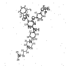 Cc1cccc(C)c1NC(=O)c1cnc(Nc2ccc(N3CCN(CCCN(C)C)CC3)cc2)nc1Oc1cccc(OC(F)(F)F)c1